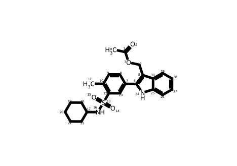 CC(=O)OCc1c(-c2ccc(C)c(S(=O)(=O)NC3CCCCC3)c2)[nH]c2ccccc12